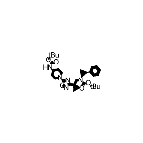 CC(C)(C)OC(=O)NC1CCN(c2nc(C3(CN(C(=O)OC(C)(C)C)[C@@H]4C[C@H]4c4ccccc4)CC3)no2)CC1